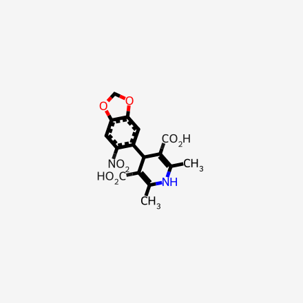 CC1=C(C(=O)O)C(c2cc3c(cc2[N+](=O)[O-])OCO3)C(C(=O)O)=C(C)N1